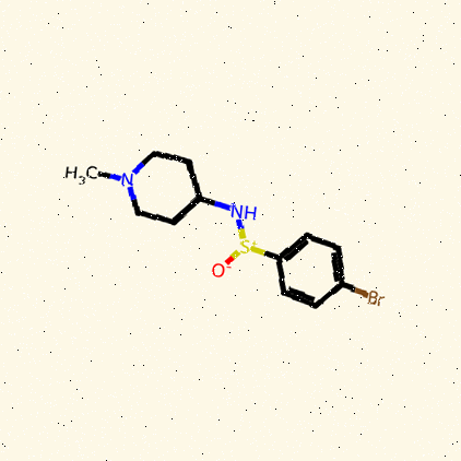 CN1CCC(N[S+]([O-])c2ccc(Br)cc2)CC1